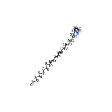 CCCCCCCCCCCCCCCCCCCCCCCCCn1cccc1